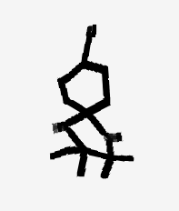 CC1(C)NC2(CCC(Cl)CC2)NC1(C)C